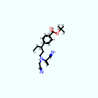 C=C(C#N)N(CC#N)CCC(CC)c1ccc(C(=O)OC(C)(C)C)cc1